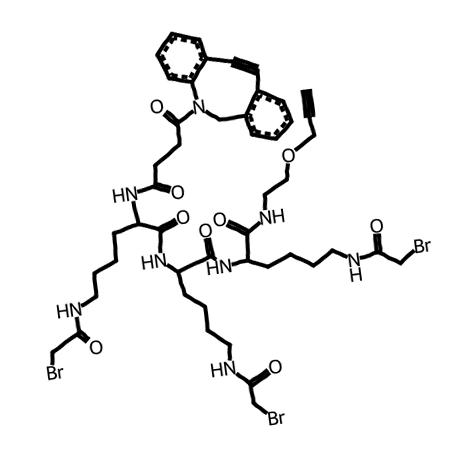 C#CCOCCNC(=O)C(CCCCNC(=O)CBr)NC(=O)C(CCCCNC(=O)CBr)NC(=O)C(CCCCNC(=O)CBr)NC(=O)CCC(=O)N1Cc2ccccc2C#Cc2ccccc21